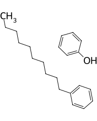 CCCCCCCCCCc1ccccc1.Oc1ccccc1